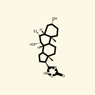 CC[C@H]1[C@@H](O)[C@H]2C3CC[C@H](c4nc(=O)o[nH]4)[C@@]3(C)CCC2[C@@]2(C)CC[C@@H](O)C[C@@H]12